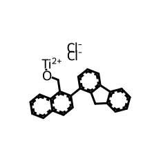 [Cl-].[Cl-].[Ti+2][O]Cc1c(-c2cccc3c2Cc2ccccc2-3)ccc2ccccc12